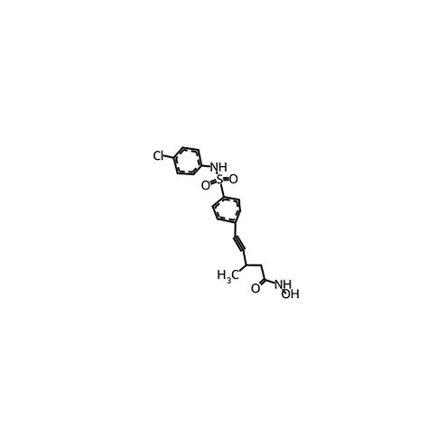 CC(C#Cc1ccc(S(=O)(=O)Nc2ccc(Cl)cc2)cc1)CC(=O)NO